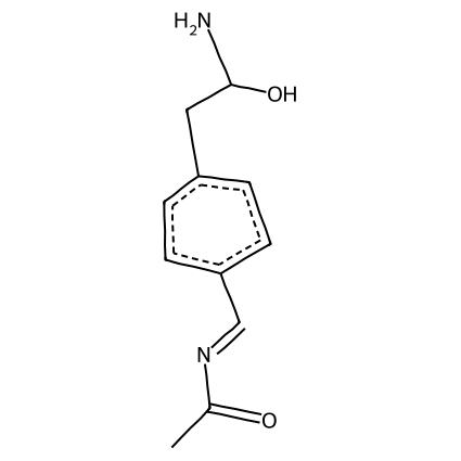 CC(=O)/N=C/c1ccc(CC(N)O)cc1